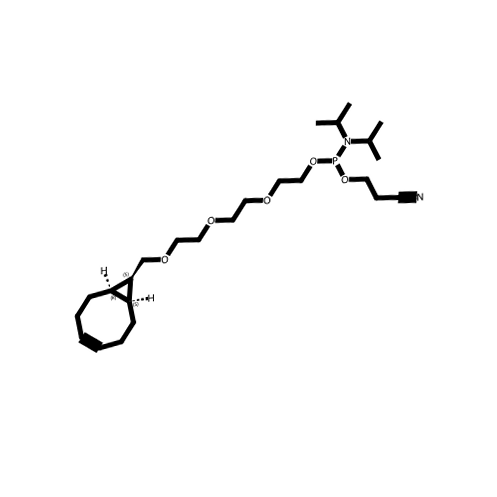 CC(C)N(C(C)C)P(OCCC#N)OCCOCCOCCOC[C@@H]1[C@@H]2CCC#CCC[C@@H]21